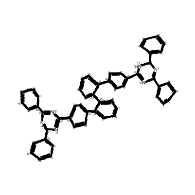 c1ccc(C2=NC(c3ccccc3)NC(c3ccc(-c4ccccc4-c4ccccc4-c4ccc(-c5nc(-c6ccccc6)nc(-c6ccccc6)n5)cc4)cc3)=N2)cc1